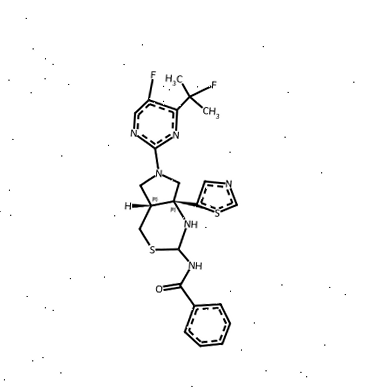 CC(C)(F)c1nc(N2C[C@H]3CSC(NC(=O)c4ccccc4)N[C@@]3(c3cncs3)C2)ncc1F